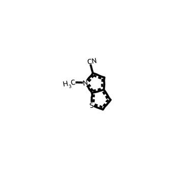 Cn1c(C#N)cc2ccsc21